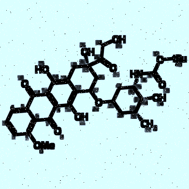 COc1cccc2c1C(=O)c1c(O)c3c(c(O)c1C2=O)C[C@@](O)(C(=O)CO)CC3OC1C[C@@H](C)[C@@H](O)[C@@H](NC(=O)OC(C)(C)C)C1